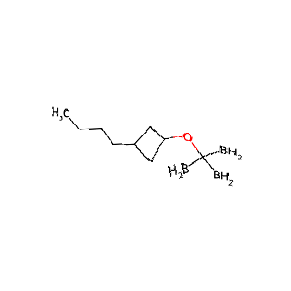 BC(B)(B)OC1CC(CCCC)C1